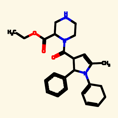 CCOC(=O)C1CNCCN1C(=O)C1C=C(C)N(C2=CC=CCC2)C1c1ccccc1